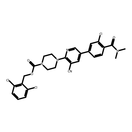 CN(C)C(=O)c1ccc(-c2cnc(N3CCN(C(=O)OCc4c(Cl)cccc4Cl)CC3)c(C#N)c2)cc1Cl